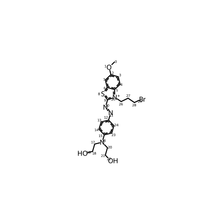 COc1ccc2c(c1)sc(/N=N/c1ccc(N(CCO)CCO)cc1)[n+]2CCCBr